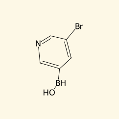 OBc1cncc(Br)c1